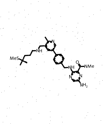 CNC(=O)c1nc(N)cnc1NCc1ccc(-c2cnc(C)c(CNCCCC(C)(C)SC)c2)cc1